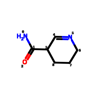 NC(=O)C1C=NCCC1